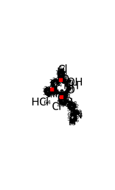 CC1C(=O)NC(CO)C(=O)NC2(Cc3ccc(Cl)cc3)CCCN(C2)C(=O)C(Cc2ccccc2)NC(=O)N1Cc1ccc(Cl)cc1Oc1ccc(-c2cnc(CN(C)C)n2C)cc1.Cl